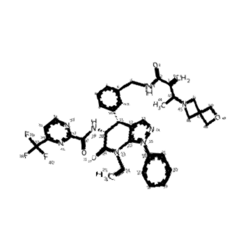 C=C(C(=O)NCc1cccc([C@@H]2c3cnn(-c4ccccc4)c3N(CC)C(=O)[C@@H]2NC(=O)c2nccc(C(F)(F)F)n2)c1)C(C)N1CC2(COC2)C1